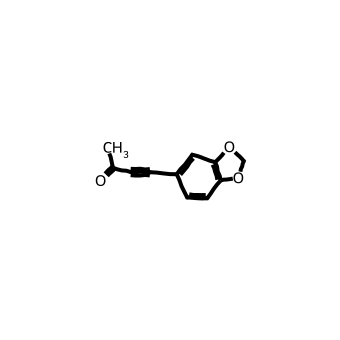 CC(=O)C#Cc1ccc2c(c1)OCO2